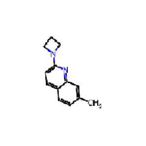 Cc1ccc2ccc(N3CCC3)nc2c1